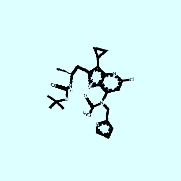 C[C@@H](Cc1oc2c(N(Cc3cccs3)C(=O)O)cc(Cl)nc2c1C1CC1)NC(=O)OC(C)(C)C